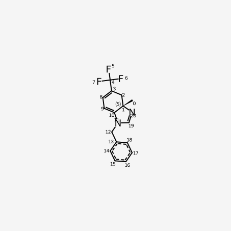 C[C@]12CC(C(F)(F)F)=CC=C1N(Cc1ccccc1)C=N2